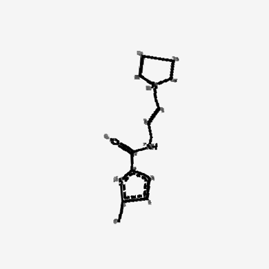 Cc1ccc(C(=O)NCCN2CCCC2)s1